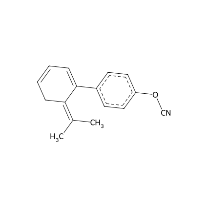 CC(C)=C1CC=CC=C1c1ccc(OC#N)cc1